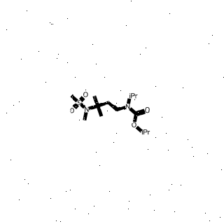 CC(C)OC(=O)N(CCC(C)(C)N(C)S(C)(=O)=O)C(C)C